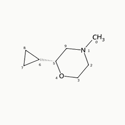 CN1CCO[C@H](C2CC2)C1